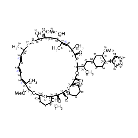 CO[C@H]1C[C@@H]2CC[C@@H](C)[C@@](O)(O2)C(=O)C(=O)N2CCCC[C@H]2C(=O)O[C@H]([C@H](C)C[C@@H]2CC[C@H](n3cnnn3)[C@H](OC)C2)CC(=O)[C@H](C)/C=C(\C)[C@@H](O)[C@@H](OC)C(=O)[C@H](C)CC[C@H](C)/C=C/C=C/C=C/1C